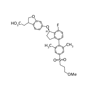 COCCCS(=O)(=O)c1cc(C)c(-c2ccc(F)c3c2CC[C@H]3Oc2ccc3c(c2)OCC3CC(=O)O)c(C)c1